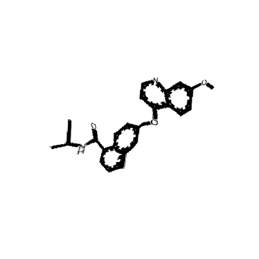 COc1ccc2c(Oc3ccc4c(C(=O)NC(C)C)cccc4c3)ccnc2c1